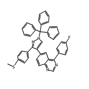 CSc1ccc(-c2nn(C(c3ccccc3)(c3ccccc3)c3ccccc3)cc2-c2ccc3ncnc(-c4ccc(F)cc4)c3c2)cc1